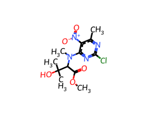 COC(=O)C(N(C)c1nc(Cl)nc(C)c1[N+](=O)[O-])C(C)(C)O